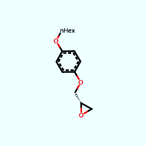 CCCCCCOc1ccc(OC[C@@H]2CO2)cc1